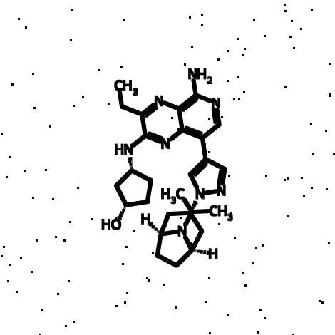 CCc1nc2c(N)ncc(-c3cnn([C@@H]4C[C@H]5CC[C@@H](C4)N5C(C)C)c3)c2nc1N[C@@H]1CC[C@H](O)C1